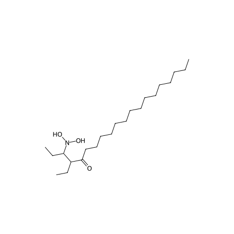 CCCCCCCCCCCCCCCC(=O)C(CC)C(CC)N(O)O